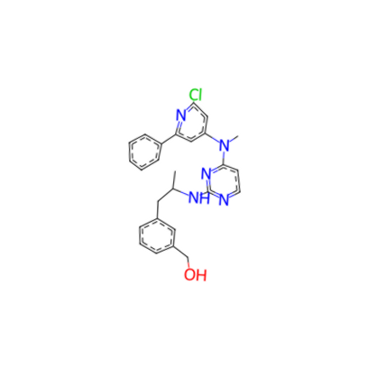 CC(Cc1cccc(CO)c1)Nc1nccc(N(C)c2cc(Cl)nc(-c3ccccc3)c2)n1